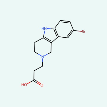 O=C(O)CCN1CCc2[nH]c3ccc(Br)cc3c2C1